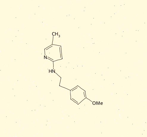 COc1ccc(CCNc2ccc(C)cn2)cc1